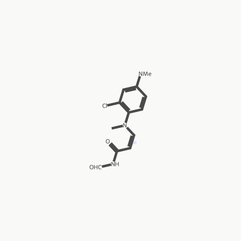 CNc1ccc(N(C)/C=C\C(=O)NC=O)c(Cl)c1